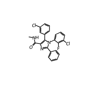 CNC(=O)c1nc(-c2ccccc2)n(-c2cccc(Cl)c2F)c1-c1cccc(Cl)c1